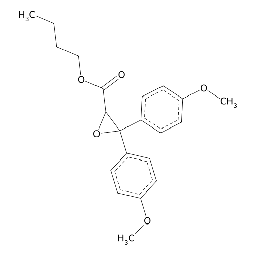 CCCCOC(=O)C1OC1(c1ccc(OC)cc1)c1ccc(OC)cc1